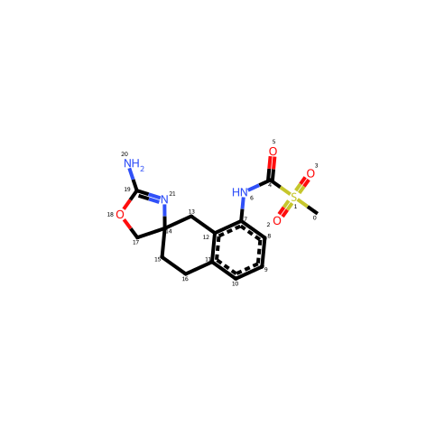 CS(=O)(=O)C(=O)Nc1cccc2c1CC1(CC2)COC(N)=N1